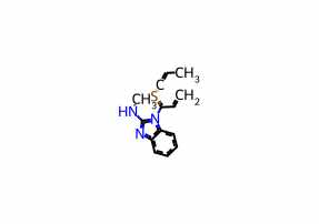 C=CC(=S=C=CC)n1c(NC)nc2ccccc21